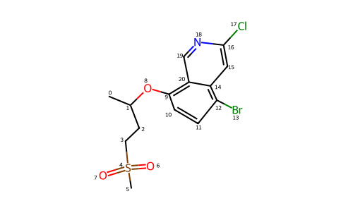 CC(CCS(C)(=O)=O)Oc1ccc(Br)c2cc(Cl)ncc12